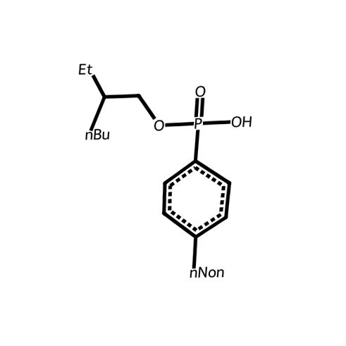 CCCCCCCCCc1ccc(P(=O)(O)OCC(CC)CCCC)cc1